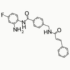 Nc1cc(F)ccc1NC(=O)c1ccc(CNC(=O)C=Cc2ccccc2)cc1